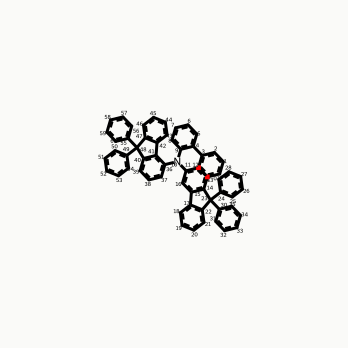 c1ccc(-c2ccccc2N(c2ccc3c(c2)-c2ccccc2C3(c2ccccc2)c2ccccc2)c2cccc3c2-c2ccccc2C3(c2ccccc2)c2ccccc2)cc1